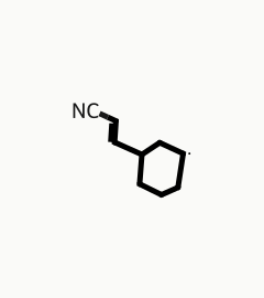 N#CC=CC1C[CH]CCC1